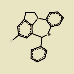 Clc1cc2c3c(c1)C(c1ccccc1)Nc1ccccc1N3CC2